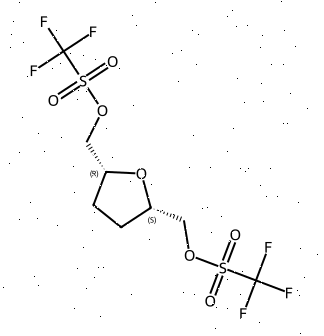 O=S(=O)(OC[C@H]1CC[C@@H](COS(=O)(=O)C(F)(F)F)O1)C(F)(F)F